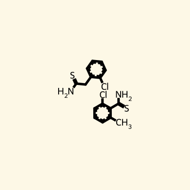 Cc1cccc(Cl)c1C(N)=S.NC(=S)Cc1ccccc1Cl